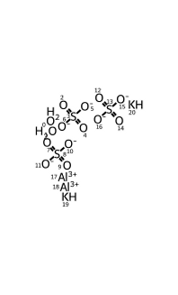 O.O.O=S(=O)([O-])[O-].O=S(=O)([O-])[O-].O=S(=O)([O-])[O-].[Al+3].[Al+3].[KH].[KH]